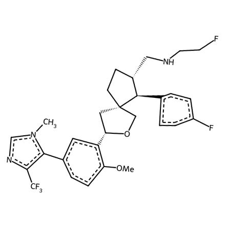 COc1ccc(-c2c(C(F)(F)F)ncn2C)cc1[C@@H]1C[C@@]2(CC[C@H](CNCCF)[C@H]2c2ccc(F)cc2)CO1